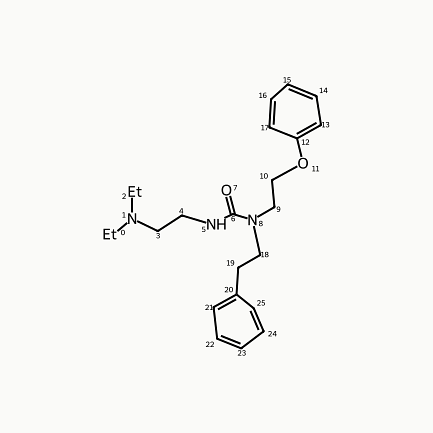 CCN(CC)CCNC(=O)N(CCOc1ccccc1)CCc1ccccc1